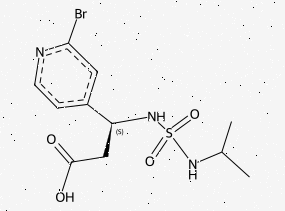 CC(C)NS(=O)(=O)N[C@@H](CC(=O)O)c1ccnc(Br)c1